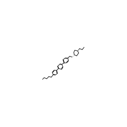 CCCCCc1ccc(-c2ccc(-c3ccc(CC[C@H]4CC[C@H](CCC)CC4)cc3)cc2)cc1